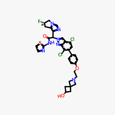 O=C(Nc1nccs1)C(c1ncn2c1C[C@@H](F)C2)n1cc2c(Cl)cc(-c3ccc(OCCN4CC5(CC(O)C5)C4)cc3)c(Cl)c2n1